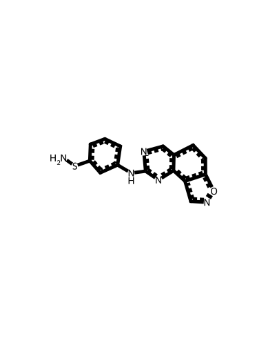 NSc1cccc(Nc2ncc3ccc4oncc4c3n2)c1